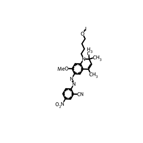 COc1cc2c(cc1/N=N/c1ccc([N+](=O)[O-])cc1C#N)C(C)=CC(C)(C)N2CCCCOI